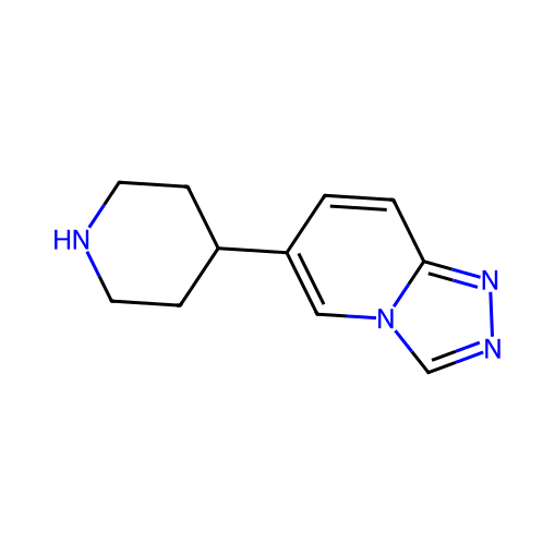 c1cc2nncn2cc1C1CCNCC1